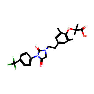 Cc1cc(CCN2CC(=O)N(c3ccc(C(F)(F)F)cc3)C2=O)cc(C)c1OC(C)(C)C(=O)O